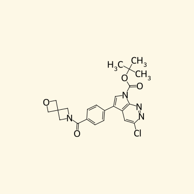 CC(C)(C)OC(=O)n1cc(-c2ccc(C(=O)N3CC4(COC4)C3)cc2)c2cc(Cl)nnc21